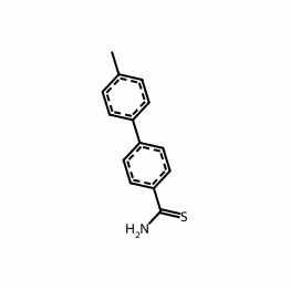 Cc1ccc(-c2ccc(C(N)=S)cc2)cc1